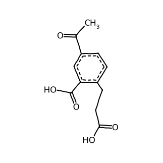 CC(=O)c1ccc(CCC(=O)O)c(C(=O)O)c1